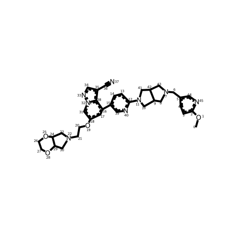 COc1ccc(CN2CC3CN(c4ccc(-c5cc(OCCN6CC7OCCOC7C6)cn6ncc(C#N)c56)cn4)CC3C2)cn1